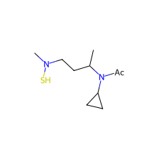 CC(=O)N(C(C)CCN(C)S)C1CC1